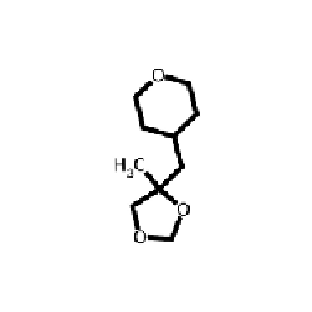 CC1(CC2CCOCC2)COCO1